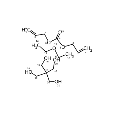 C=CCOC(=O)OCC=C.CCOCC.OCC(CO)(CO)CO